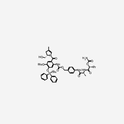 COc1cc(C(=O)N2C=C(C)C[C@H]2CO)c(NC(=O)OCc2ccc(NC(=O)[C@H](C)NC(=O)[C@@H](OC(N)=O)C(C)C)cc2)cc1O[Si](c1ccccc1)(c1ccccc1)C(C)(C)C